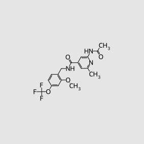 COc1cc(OC(F)(F)F)ccc1CNC(=O)c1cc(C)nc(NC(C)=O)c1